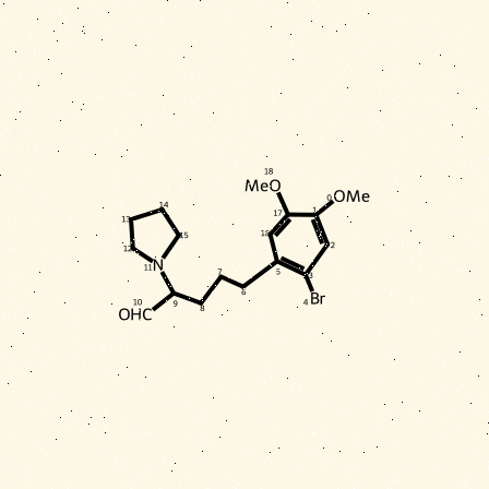 COc1cc(Br)c(CCCC(C=O)N2CCCC2)cc1OC